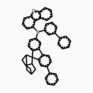 c1ccc(-c2cccc(N(c3ccc4c(c3)-c3ccc(-c5ccccc5)cc3C43C4CC5CC(C4)C3C5)c3cccc4oc5ccccc5c34)c2)cc1